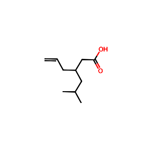 C=CCC(CC(=O)O)CC(C)C